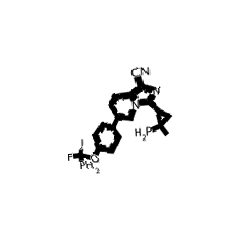 CC1(P)CC1c1nc(C#N)c2ccc(-c3ccc(OC(F)(P)I)cc3)cn12